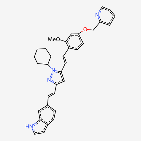 COc1cc(OCc2ccccn2)ccc1/C=C/c1cc(/C=C/c2ccc3cc[nH]c3c2)nn1C1CCCCC1